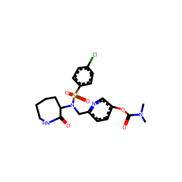 CN(C)C(=O)Oc1ccc(CN(C2CCCCNC2=O)S(=O)(=O)c2ccc(Cl)cc2)nc1